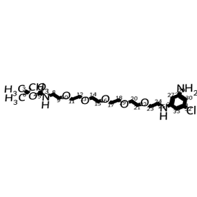 CC(C)(C)OC(=O)NCCOCCOCCOCCOCCOCCNc1cc(N)cc(Cl)c1